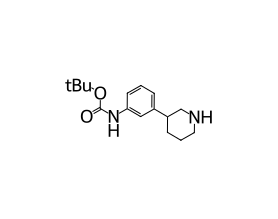 CC(C)(C)OC(=O)Nc1cccc(C2CCCNC2)c1